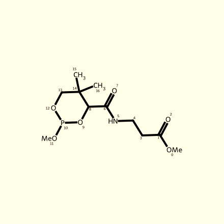 COC(=O)CCNC(=O)C1OP(OC)OCC1(C)C